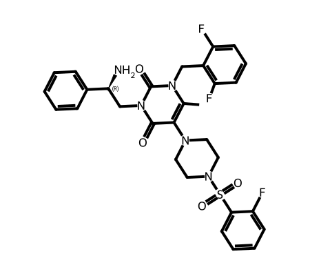 Cc1c(N2CCN(S(=O)(=O)c3ccccc3F)CC2)c(=O)n(C[C@H](N)c2ccccc2)c(=O)n1Cc1c(F)cccc1F